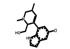 CC1C=C(c2cc(Cl)cc3cc[nH]c23)C(CO)N(C)C1